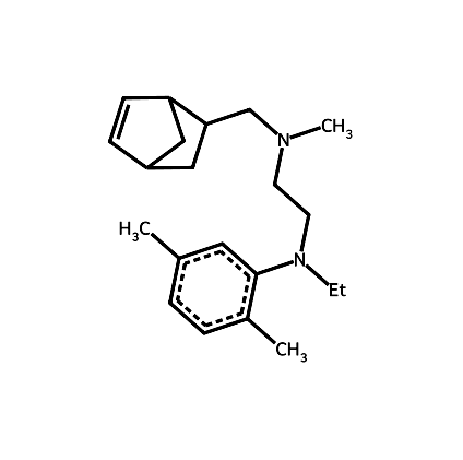 CCN(CCN(C)CC1CC2C=CC1C2)c1cc(C)ccc1C